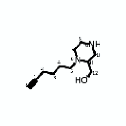 C#CCCCCN1CCNCC1CO